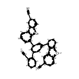 N#Cc1ccc2oc3c(-c4cc(-c5ccccc5C#N)cc(-c5cccc6oc7ccc(C#N)cc7c56)c4)cccc3c2c1